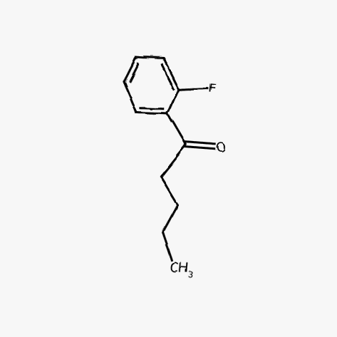 CCCCC(=O)c1ccccc1F